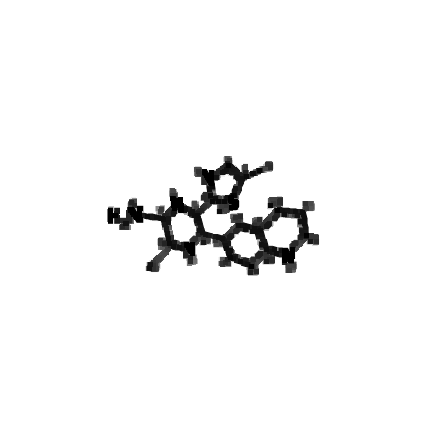 Cc1cnc(-c2nc(N)c(C)nc2-c2ccc3ncccc3c2)s1